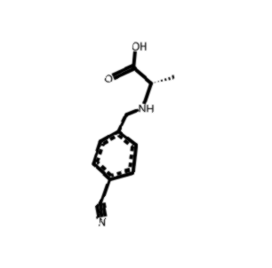 C[C@H](NCc1ccc(C#N)cc1)C(=O)O